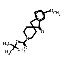 COc1ccc2c(c1)C(=O)C1(CCN(C(=O)OC(C)(C)C)CC1)C2